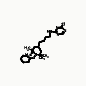 CC1(C)CC(CCCCNc2ncnc(Cl)n2)CC(C)(C)N1OC1CCCCC1